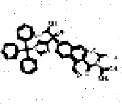 CC(C)N(C(=O)c1ccc2cc(C(O)(c3cn(C(c4ccccc4)(c4ccccc4)c4ccccc4)cn3)C(C)C)ccc2c1C=O)C(C)C